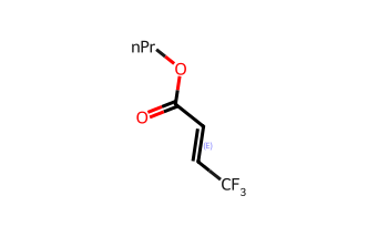 CCCOC(=O)/C=C/C(F)(F)F